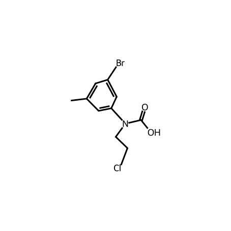 Cc1cc(Br)cc(N(CCCl)C(=O)O)c1